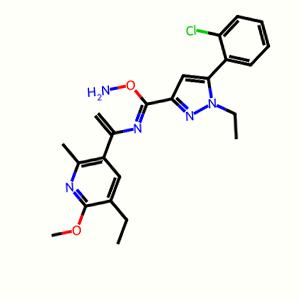 C=C(/N=C(\ON)c1cc(-c2ccccc2Cl)n(CC)n1)c1cc(CC)c(OC)nc1C